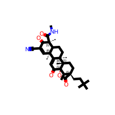 CNC(=O)[C@]1(C)C(=O)C(C#N)=C[C@]2(C)C3=CC(=O)[C@@]45OC(=O)[C@@](CCC(C)(C)C)(CC[C@@]4(C)[C@]3(C)CCC12)C5C